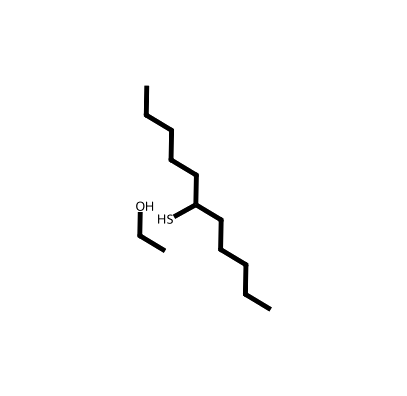 CCCCCC(S)CCCCC.CCO